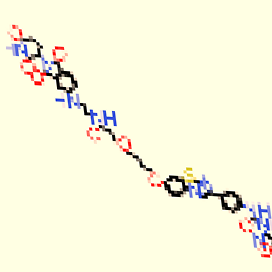 CC(C)(C)c1cc(NC(=O)Nc2ccc(-c3cn4c(n3)sc3cc(OCCCCOCCC(=O)NCCNc5ccc6c(c5)C(=O)N(C5CCC(=O)NC5=O)C6=O)ccc34)cc2)no1